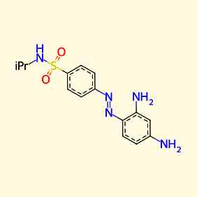 CC(C)NS(=O)(=O)c1ccc(N=Nc2ccc(N)cc2N)cc1